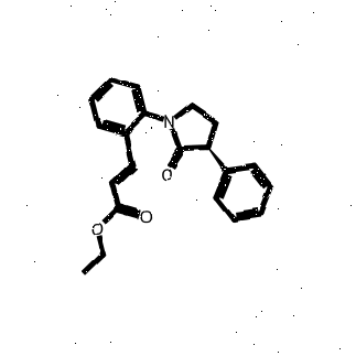 CCOC(=O)/C=C/c1ccccc1N1CC[C@@H](c2ccccc2)C1=O